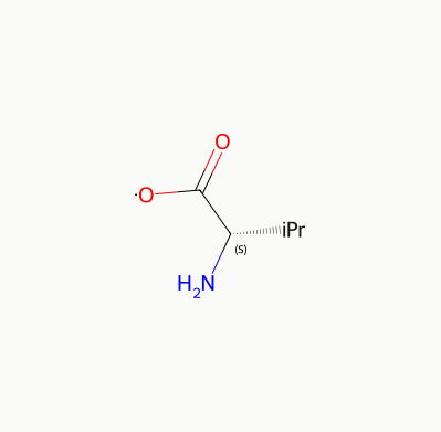 CC(C)[C@H](N)C([O])=O